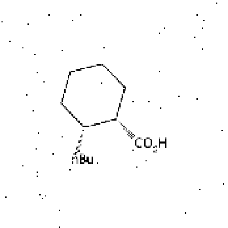 CCCC[C@@H]1CCCC[C@@H]1C(=O)O